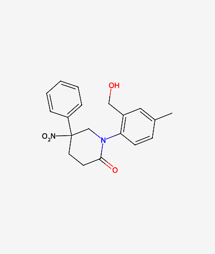 Cc1ccc(N2CC(c3ccccc3)([N+](=O)[O-])CCC2=O)c(CO)c1